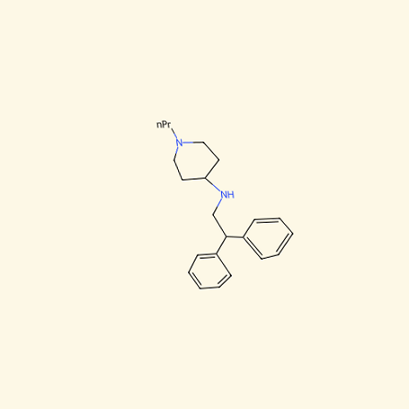 CCCN1CCC(NCC(c2ccccc2)c2ccccc2)CC1